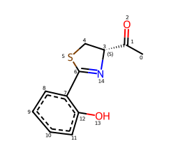 CC(=O)[C@H]1CSC(c2ccccc2O)=N1